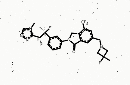 Cn1cnnc1[C@@H](F)[C@@](C)(F)c1cccc(N2Cc3c(cc(CN4CC(C)(F)C4)cc3C(F)(F)F)C2=O)c1